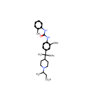 COc1cc(C(C)(NC(C)=O)C2CCN(C(C)CC(=O)O)CC2)ccc1NC(=O)Nc1ccccc1C